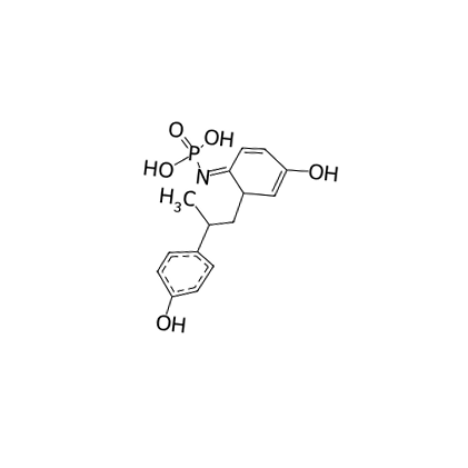 CC(CC1C=C(O)C=CC1=NP(=O)(O)O)c1ccc(O)cc1